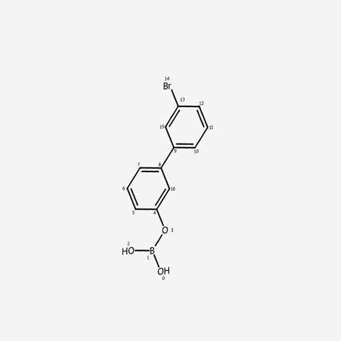 OB(O)Oc1cccc(-c2cccc(Br)c2)c1